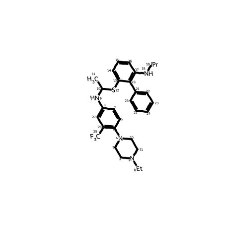 CCN1CCN(c2ccc(NC(C)Sc3cccc(NC(C)C)c3-c3ccccc3)cc2C(F)(F)F)CC1